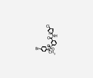 CN(c1ccc(Br)cc1)S(=O)(=O)c1cccc(C(=O)Nc2ccc(Cl)cn2)c1